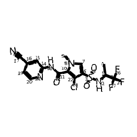 CC(NS(=O)(=O)c1cn(C)c(C(=O)Nc2cc(C#N)ccn2)c1Cl)C(F)(F)F